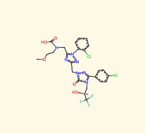 COCCN(Cc1nc(Cn2nc(-c3ccc(Cl)cc3)n(C[C@H](O)C(F)(F)F)c2=O)nn1-c1ccccc1Cl)C(=O)O